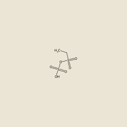 CCS(=O)(=O)OS(=O)(=O)O